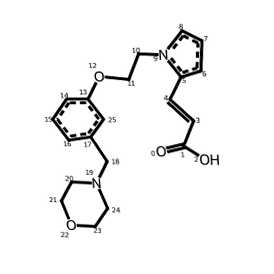 O=C(O)C=Cc1cccn1CCOc1cccc(CN2CCOCC2)c1